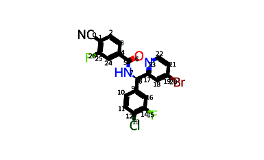 N#Cc1ccc(C(=O)N[C@@H](c2ccc(Cl)c(F)c2)c2cc(Br)ccn2)cc1F